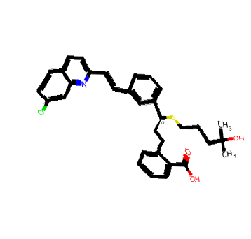 CC(C)(O)CCCS[C@@H](CCc1ccccc1C(=O)O)c1cccc(C=Cc2ccc3ccc(Cl)cc3n2)c1